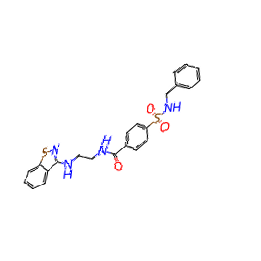 O=C(NCCNc1nsc2ccccc12)c1ccc(S(=O)(=O)NCc2ccccc2)cc1